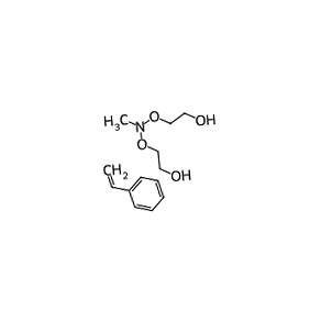 C=Cc1ccccc1.CN(OCCO)OCCO